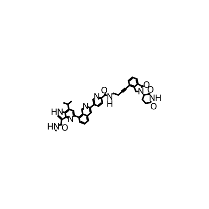 CNC(=O)c1c[nH]c2c(C(C)C)cc(-c3cccc4cc(-c5ccc(C(=O)NCCC#Cc6cccc7c6CN(C6CCC(=O)NC6=O)C7=O)nc5)ncc34)nc12